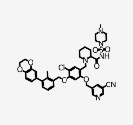 Cc1c(COc2cc(OCc3cncc(C#N)c3)c(CN3CCCCC3C(=O)NS(=O)(=O)N3CCN(C)CC3)cc2Cl)cccc1-c1ccc2c(c1)OCCO2